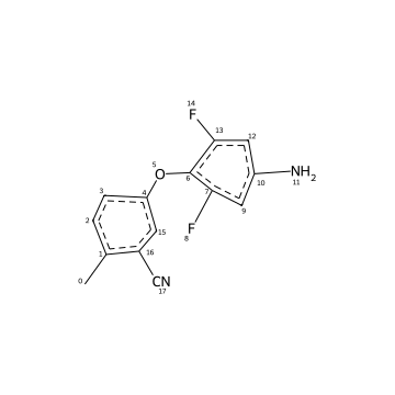 Cc1ccc(Oc2c(F)cc(N)cc2F)cc1C#N